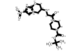 CC(C)(C)OC(=O)N1CCN(C(=O)COC2COc3nc([N+](=O)[O-])cn3C2)CC1